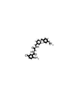 Nc1ccc(Cl)cc1C(=O)NCC(=O)NCC1CCN(Cc2ccc(SC(F)(F)F)cc2)CC1